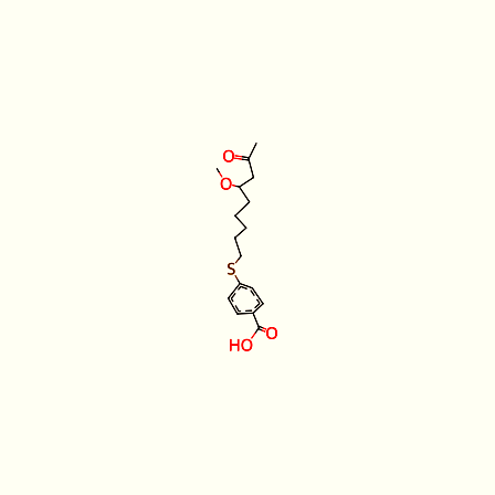 COC(CCCCCSc1ccc(C(=O)O)cc1)CC(C)=O